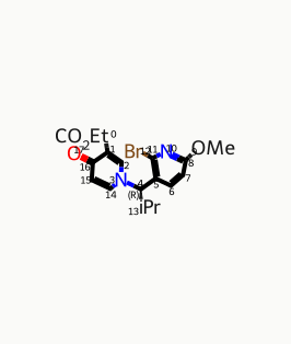 CCOC(=O)c1cn([C@@H](c2ccc(OC)nc2Br)C(C)C)ccc1=O